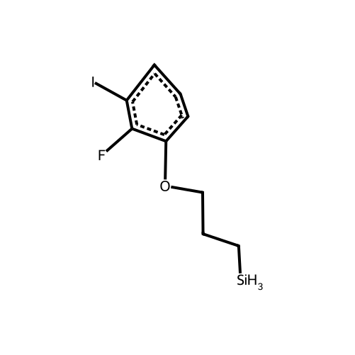 Fc1c(I)cccc1OCCC[SiH3]